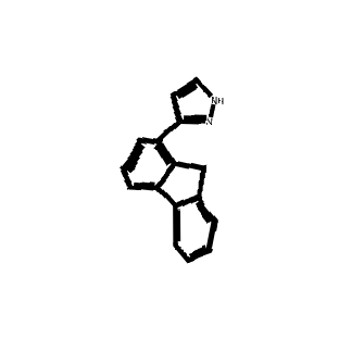 c1ccc2c(c1)Cc1c(-c3cc[nH]n3)cccc1-2